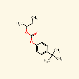 CCC(C)OC(=O)Oc1ccc(C(C)(C)C)cc1